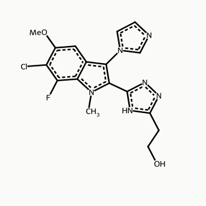 COc1cc2c(-n3ccnc3)c(-c3nnc(CCO)[nH]3)n(C)c2c(F)c1Cl